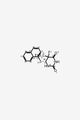 CCOC(=O)C1(F)C(=O)NC(=O)N[C@@H]1Sc1cccc2ccccc12